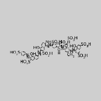 Cc1cc(N=Nc2c(S(=O)(=O)O)cc3c(S(=O)(=O)O)c(N=Nc4c(N)ccc5c(O)c(N=Nc6ccc7cc(S(=O)(=O)O)c(N=Nc8ccc(S(=O)(=O)O)cc8)c(O)c7c6)c(S(=O)(=O)O)cc45)ccc3c2O)c(OCCCS(=O)(=O)O)cc1N=Nc1cc(S(=O)(=O)O)cc2cc(S(=O)(=O)O)cc(O)c12